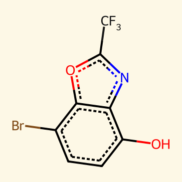 Oc1ccc(Br)c2oc(C(F)(F)F)nc12